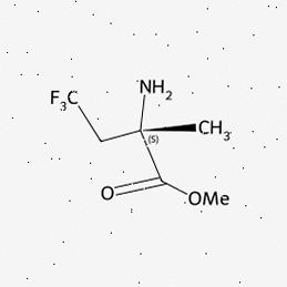 COC(=O)[C@@](C)(N)CC(F)(F)F